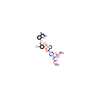 Cc1cc(C)c2cccc(OCc3c(Cl)ccc(S(=O)(=O)N4CCCC4C(=O)N4CCN(/C(=N/C(=O)OC(C)(C)C)NC(=O)OC(C)(C)C)CC4)c3Cl)c2n1